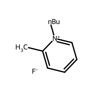 CCCC[n+]1ccccc1C.[F-]